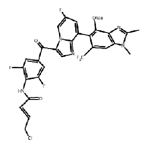 COc1c(-c2cc(F)cn3c(C(=O)c4cc(F)c(NC(=O)/C=C/CCl)c(F)c4)cnc23)c(C(F)(F)F)cc2c1nc(C)n2C